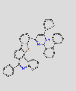 C1=C(c2ccccc2)NC(c2ccccc2-c2ccccc2)N=C1c1cccc2c1sc1c2ccc2c(-c3ccccc3)nc3ccccc3c21